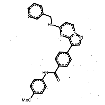 COc1ccc(NC(=O)c2ccc(-c3cnn4ccc(NCc5cccnc5)nc34)cc2)cc1